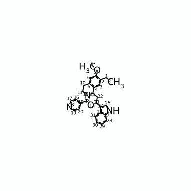 CCc1cc2c(cc1OC)CCN(C(=O)c1ccncc1)C2CCc1c[nH]c2ccccc12